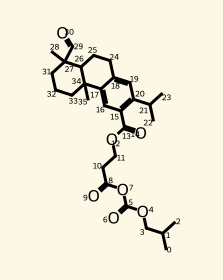 CC(C)COC(=O)OC(=O)CCOC(=O)c1cc2c(cc1C(C)C)CCC1C(C)(C=O)CCCC21C